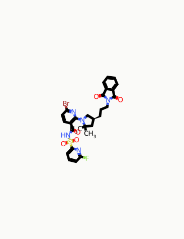 CC1(C)C[C@H](CCCN2C(=O)c3ccccc3C2=O)CN1c1nc(Br)ccc1C(=O)NS(=O)(=O)c1cccc(F)n1